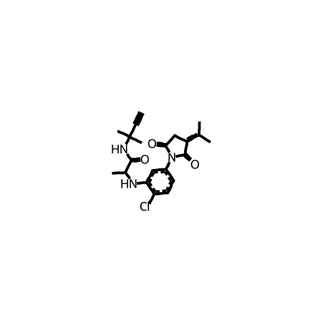 C#CC(C)(C)NC(=O)C(C)Nc1cc(N2C(=O)CC(=C(C)C)C2=O)ccc1Cl